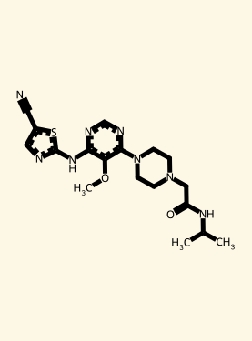 COc1c(Nc2ncc(C#N)s2)ncnc1N1CCN(CC(=O)NC(C)C)CC1